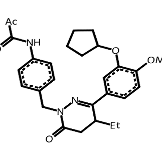 CCC1CC(=O)N(Cc2ccc(NC(=O)C(C)=O)cc2)N=C1c1ccc(OC)c(OC2CCCC2)c1